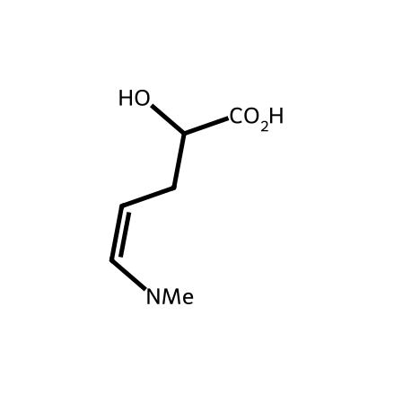 CN/C=C\CC(O)C(=O)O